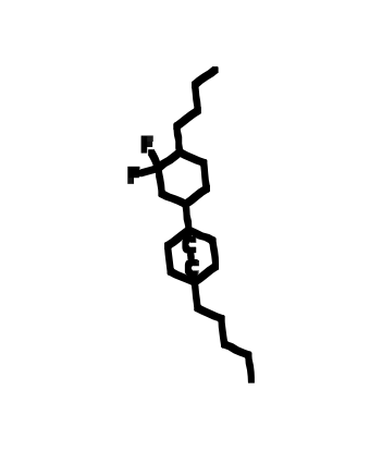 CCCCCC12CCC(C3CCC(CCCC)C(F)(F)C3)(CC1)CC2